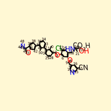 Cc1c(COc2cc(OCc3cncc(C#N)c3)c(CNC(C)(CO)C(=O)O)cc2Cl)cccc1-c1cccc(-c2ccc3c(c2)OCC3N(C)C)c1C